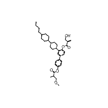 C=C(CO)C(=O)Oc1ccc(-c2ccc(OC(=O)C(C)COC)cc2)cc1C1CCC(C2CCC(CCCC)CC2)CC1